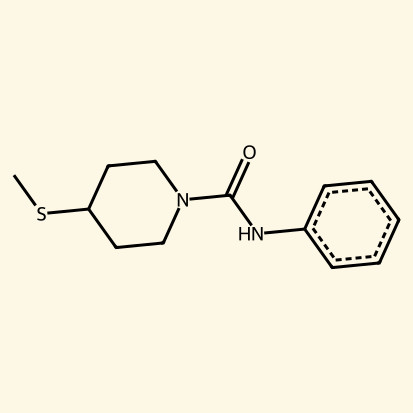 CSC1CCN(C(=O)Nc2ccccc2)CC1